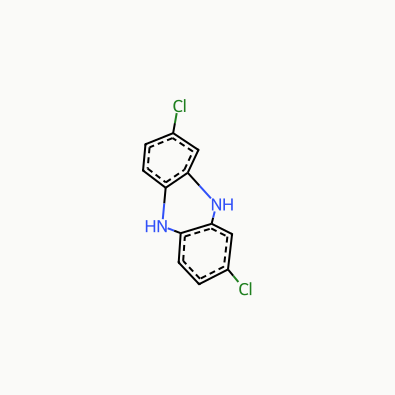 Clc1ccc2c(c1)Nc1cc(Cl)ccc1N2